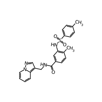 Cc1ccc(S(=O)(=O)Nc2cc(C(=O)NCc3cnn4ccccc34)ccc2C)cc1